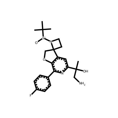 CC(O)(CN)c1cc2c(c(-c3ccc(F)cc3)n1)OCC21CCN1[S+]([O-])C(C)(C)C